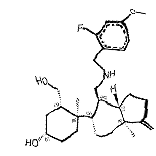 C=C1CC[C@H]2[C@H](CNCc3ccc(OC)cc3F)[C@@H]([C@@]3(C)CC[C@H](O)C[C@@H]3CO)CC[C@]12C